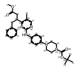 COC(=O)CC(Cc1ccccc1)c1nc(Nc2ccc(N3CCN(C(=O)OC(C)(C)C)CC3)cc2)ncc1C